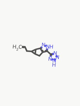 C=CCC1C2Cc3c(n[nH]c3-c3nn[nH]n3)C12